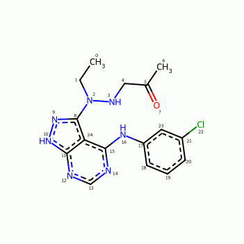 CCN(NCC(C)=O)c1n[nH]c2ncnc(Nc3cccc(Cl)c3)c12